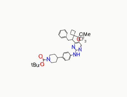 COC(=O)C1(C(Cc2ccccc2)c2nc(Nc3ccc(C4CCN(C(=O)OC(C)(C)C)CC4)cc3)ncc2C(F)(F)F)CCC1